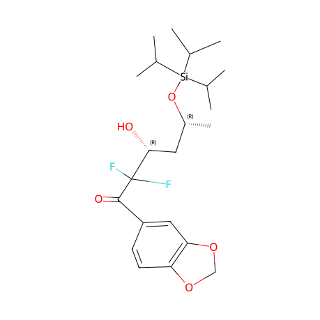 CC(C)[Si](O[C@H](C)C[C@@H](O)C(F)(F)C(=O)c1ccc2c(c1)OCO2)(C(C)C)C(C)C